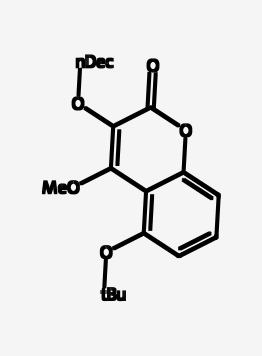 CCCCCCCCCCOc1c(OC)c2c(OC(C)(C)C)cccc2oc1=O